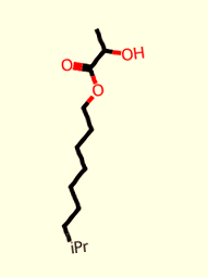 CC(C)CCCCCCCOC(=O)C(C)O